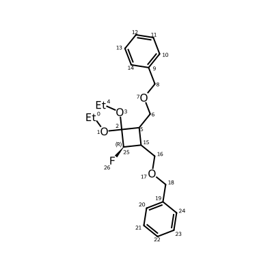 CCOC1(OCC)C(COCc2ccccc2)C(COCc2ccccc2)[C@H]1F